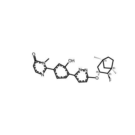 Cn1c(-c2ccc(-c3ccc(O[C@@H]4C[C@@]5(C)CC[C@](C)(C5)[C@H]4F)nn3)c(O)c2)nccc1=O